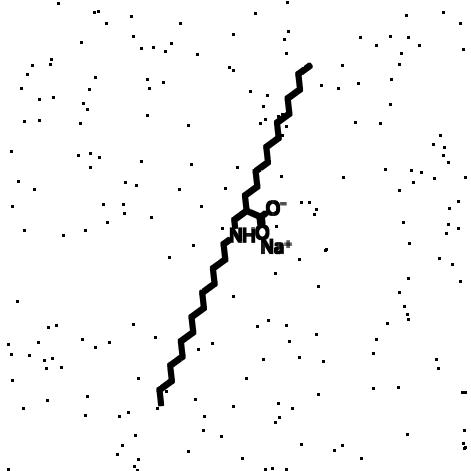 CCCCCCCCCCCCCCNCC(CCCCCCCCCCCC)C(=O)[O-].[Na+]